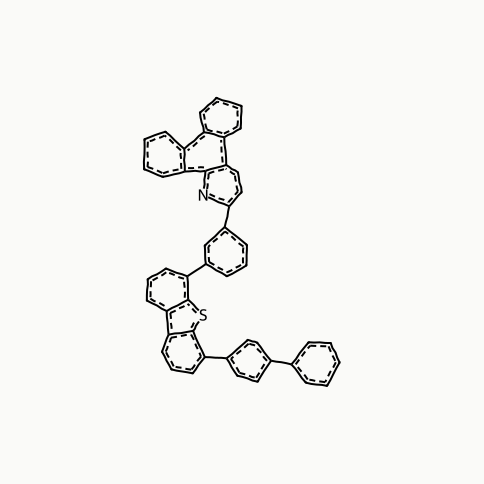 c1ccc(-c2ccc(-c3cccc4c3sc3c(-c5cccc(-c6ccc7c8ccccc8c8ccccc8c7n6)c5)cccc34)cc2)cc1